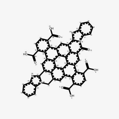 O=C(O)c1ccc(C(=O)O)c2c3cc4c(=O)n5c6ccccc6nc5c5cc6c7c(C(=O)O)ccc(C(=O)O)c7c7cc8c9c(cc(c12)c1c9c7c6c(c45)c31)Cn1c-8nc2ccccc21